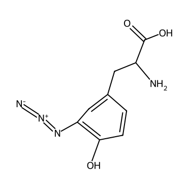 [N-]=[N+]=Nc1cc(CC(N)C(=O)O)ccc1O